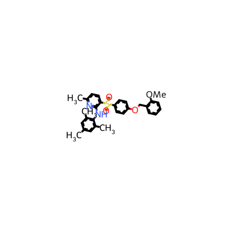 COc1ccccc1COc1ccc(S(=O)(=O)c2ccc(C)nc2Nc2c(C)cc(C)cc2C)cc1